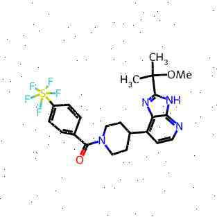 COC(C)(C)c1nc2c(C3CCN(C(=O)c4ccc(S(F)(F)(F)(F)F)cc4)CC3)ccnc2[nH]1